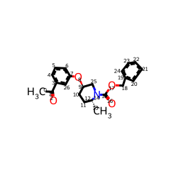 CC(=O)c1cccc(O[C@@H]2CC[C@@H](C)N(C(=O)OCc3ccccc3)C2)c1